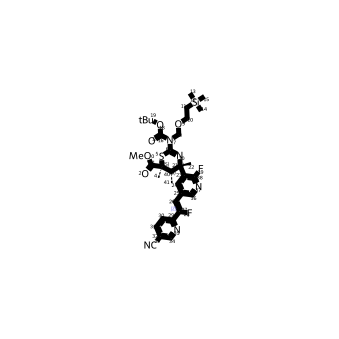 COC(=O)[C@@]1(C)SC(N(COCC[Si](C)(C)C)C(=O)OC(C)(C)C)=N[C@](C)(c2cc(/C=C(\F)c3ccc(C#N)cn3)cnc2F)[C@@H]1C